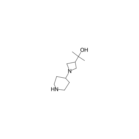 CC(C)(O)C1CN(C2CCNCC2)C1